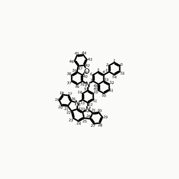 c1ccc(-c2ccc(N(c3ccc4c(c3)n3c5ccccc5c5ccc6c7ccccc7n4c6c53)c3cccc4c3oc3ccccc34)c3ccccc23)cc1